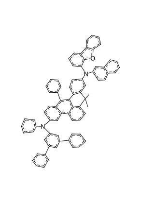 CC1(C)c2cc(N(c3ccc4ccccc4c3)c3cccc4c3oc3ccccc34)ccc2-c2c(-c3ccccc3)c3ccc(N(c4ccccc4)c4cc(-c5ccccc5)cc(-c5ccccc5)c4)cc3c3cccc1c23